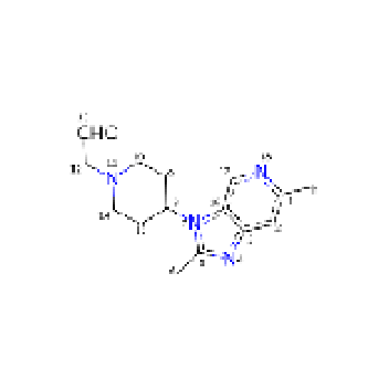 Cc1cc2nc(C)n(C3CCN(CC=O)CC3)c2cn1